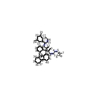 C=C(/C=C\C=C/S(C)(C)C)C1(C(=C)/C=C(\C=C/C)c2cc(C)cc(C)c2)c2ccccc2-n2c3ccccc3c3cccc1c32